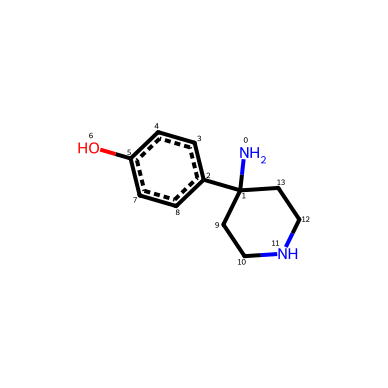 NC1(c2ccc(O)cc2)CCNCC1